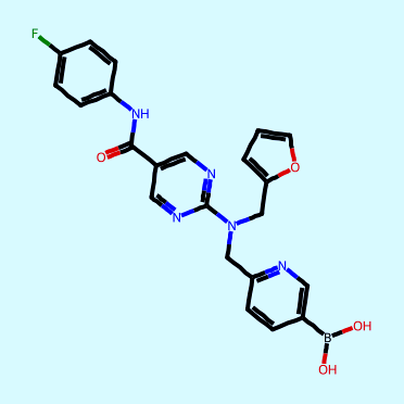 O=C(Nc1ccc(F)cc1)c1cnc(N(Cc2ccc(B(O)O)cn2)Cc2ccco2)nc1